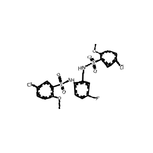 COc1ccc(Cl)cc1S(=O)(=O)Nc1ccc(F)cc1NS(=O)(=O)c1cc(Cl)ccc1OC